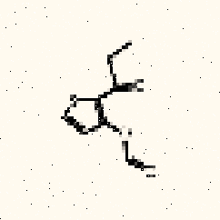 CCC(=O)c1sccc1OC=O